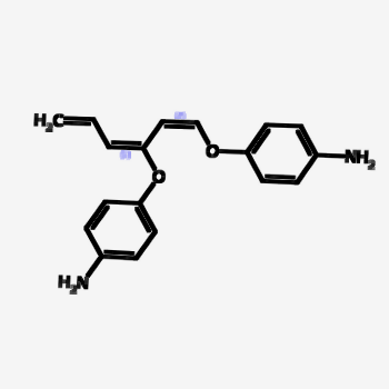 C=C/C=C(\C=C/Oc1ccc(N)cc1)Oc1ccc(N)cc1